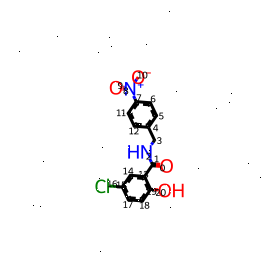 O=C(NCc1ccc([N+](=O)[O-])cc1)c1cc(Cl)ccc1O